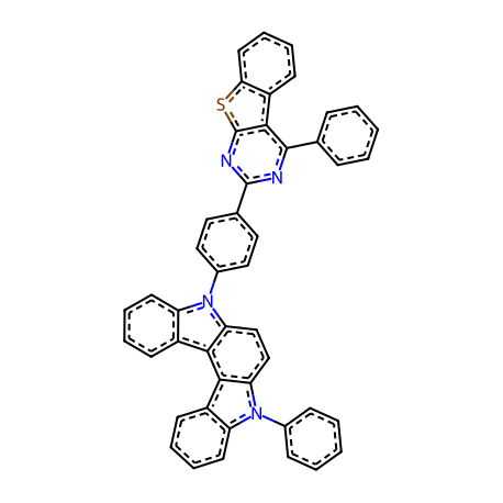 c1ccc(-c2nc(-c3ccc(-n4c5ccccc5c5c6c7ccccc7n(-c7ccccc7)c6ccc54)cc3)nc3sc4ccccc4c23)cc1